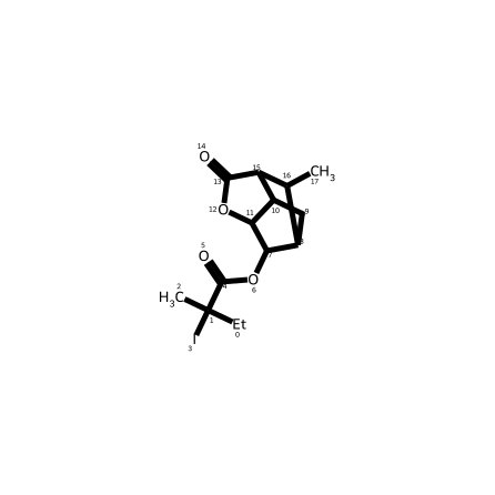 CCC(C)(I)C(=O)OC1C2CC3C1OC(=O)C3C2C